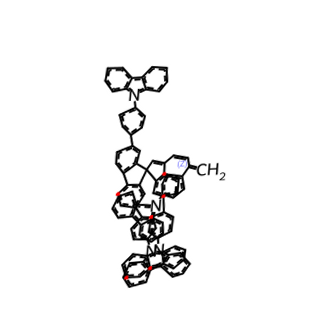 C=C(/C=C\C1=CC2(c3cc(-c4ccc(-n5c6ccccc6c6ccccc65)cc4)ccc31)c1cc(-c3ccc(-n4c5ccccc5c5ccccc54)cc3)ccc1-c1ccc(-c3ccc(-n4c5ccccc5c5ccccc54)cc3)cc12)c1ccc(-n2c3ccccc3c3ccccc32)cc1